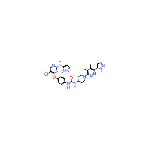 Cc1c(-c2ccnn2C)nnc(N2CCC(NC(=O)Nc3ccc(Oc4nc(Nc5ccnn5C)ncc4Cl)cc3)CC2)c1C